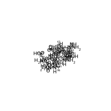 CC(C)C[C@H](NC(=O)[C@H](CCC(N)=O)NC(=O)[C@@H](N)CCC(=O)O)C(=O)NCC(=O)N[C@H](C(=O)N[C@@H](CCCNC(=N)N)C(=O)N[C@@H](CCCCN)C(=O)N[C@@H](CCC(=O)O)C(=O)N[C@@H](CC(C)C)C(=O)N[C@@H](CCCNC(=N)N)C(=O)NCC(=O)N[C@H](C(=O)O)C(C)C)C(C)C